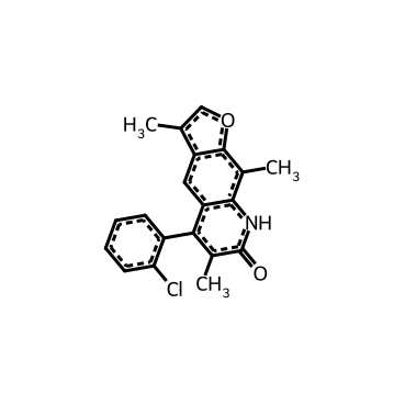 Cc1c(-c2ccccc2Cl)c2cc3c(C)coc3c(C)c2[nH]c1=O